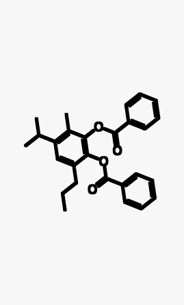 CCCc1cc(C(C)C)c(C)c(OC(=O)c2ccccc2)c1OC(=O)c1ccccc1